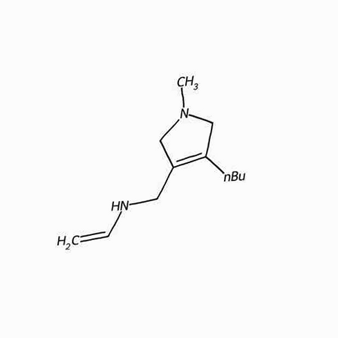 C=CNCC1=C(CCCC)CN(C)C1